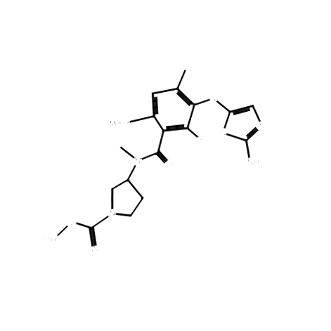 COc1cc(C)c(Sc2cnc(N)s2)c(F)c1C(=O)N(C)C1CCN(C(=O)OC(C)(C)C)C1